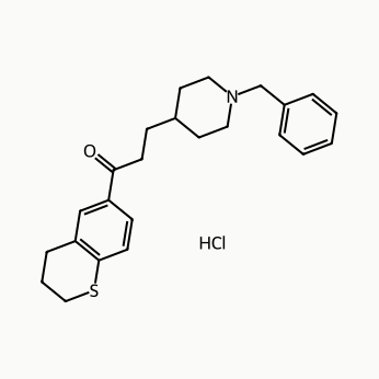 Cl.O=C(CCC1CCN(Cc2ccccc2)CC1)c1ccc2c(c1)CCCS2